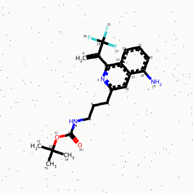 C=C(c1nc(CCCNC(=O)OC(C)(C)C)cc2c(N)cccc12)C(F)(F)F